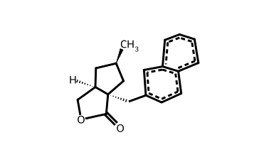 C[C@@H]1C[C@@H]2COC(=O)[C@]2(Cc2ccc3ccccc3c2)C1